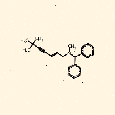 CN(CC=CC#CC(C)(C)C)C(c1ccccc1)c1ccccc1